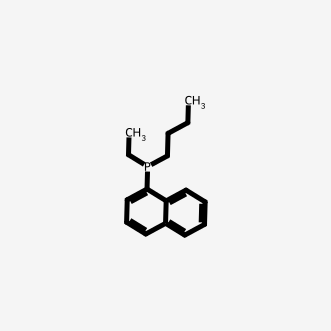 CCCCP(CC)c1cccc2ccccc12